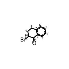 O=C1c2ccccc2CCC1Br